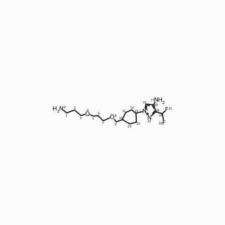 NCCCOCCCOCC1CCC(n2cc(N)c(C(F)F)n2)CC1